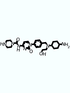 NC1CCC(N(CCO)Cc2ccc(-n3ccc(NC(=O)N4CCNCC4)nc3=O)cc2)CC1